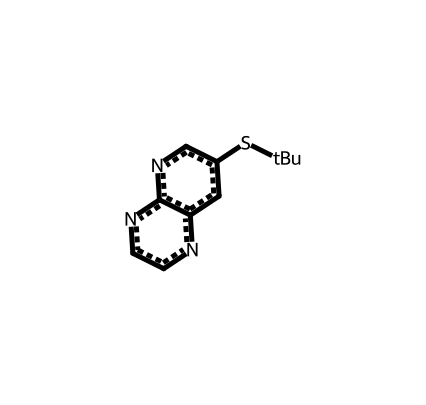 CC(C)(C)Sc1cnc2nccnc2c1